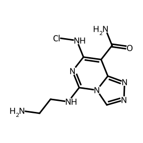 NCCNc1nc(NCl)c(C(N)=O)c2nncn12